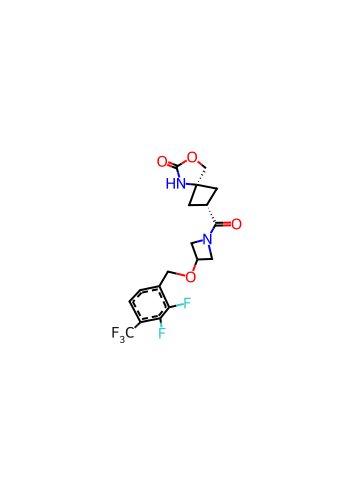 O=C1N[C@]2(CO1)C[C@@H](C(=O)N1CC(OCc3ccc(C(F)(F)F)c(F)c3F)C1)C2